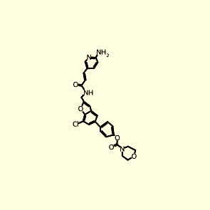 Nc1ccc(C=CC(=O)NCc2cc3cc(-c4ccc(OC(=O)N5CCOCC5)cc4)cc(Cl)c3o2)cn1